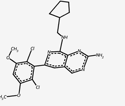 COc1cc(OC)c(Cl)c(-c2cc3cnc(N)nc3c(NCC3CCCC3)n2)c1Cl